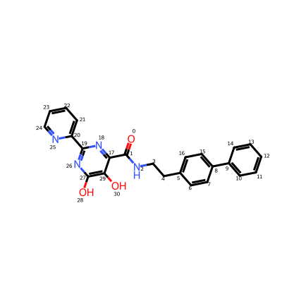 O=C(NCCc1ccc(-c2ccccc2)cc1)c1nc(-c2ccccn2)nc(O)c1O